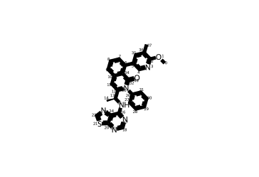 COc1ncc(-c2cccc3cc([C@H](C)Nc4ncnc5scnc45)n(-c4ccccc4)c(=O)c23)cc1C